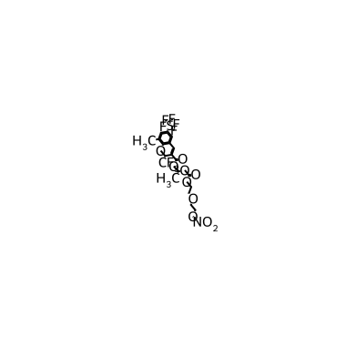 Cc1cc(S(F)(F)(F)(F)F)cc2c1OC(C(F)(F)F)C(C(=O)OC(C)OC(=O)OCCOCCO[N+](=O)[O-])=C2